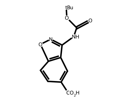 CC(C)(C)OC(=O)Nc1noc2ccc(C(=O)O)cc12